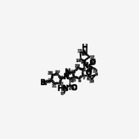 CNC(=O)c1c2cc(C3CC3)c(N([C@H]3CCNC3)S(C)(=O)=O)cc2nn1-c1ccc(Br)cc1